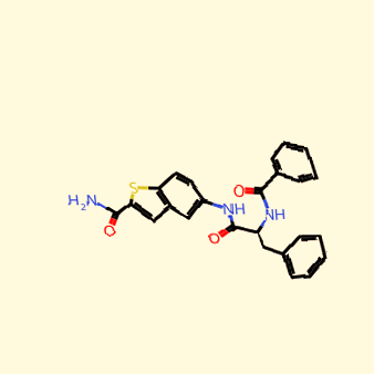 NC(=O)c1cc2cc(NC(=O)[C@H](Cc3ccccc3)NC(=O)c3ccccc3)ccc2s1